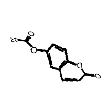 CCC(=O)Oc1ccc2oc(=O)ccc2c1